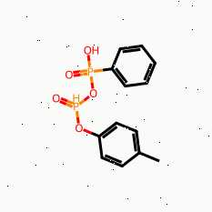 Cc1ccc(O[PH](=O)OP(=O)(O)c2ccccc2)cc1